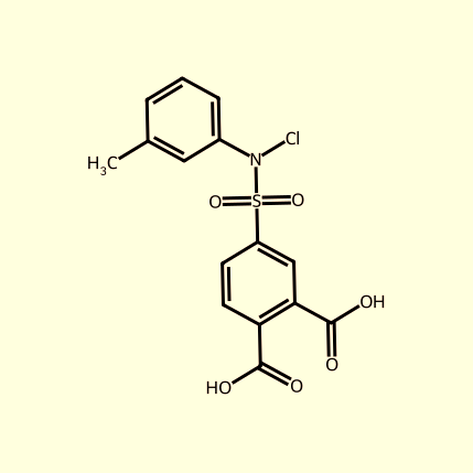 Cc1cccc(N(Cl)S(=O)(=O)c2ccc(C(=O)O)c(C(=O)O)c2)c1